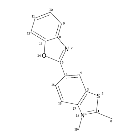 Cc1sc2cc(-c3nc4ccccc4o3)ccc2[n+]1C